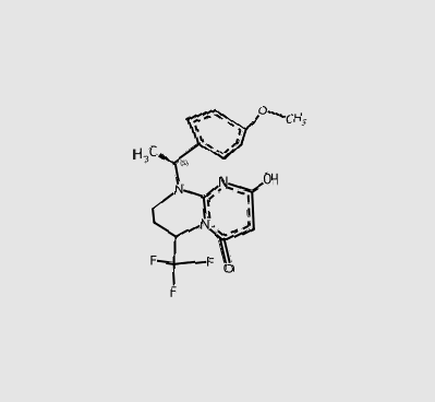 COc1ccc([C@H](C)N2CCC(C(F)(F)F)n3c2nc(O)cc3=O)cc1